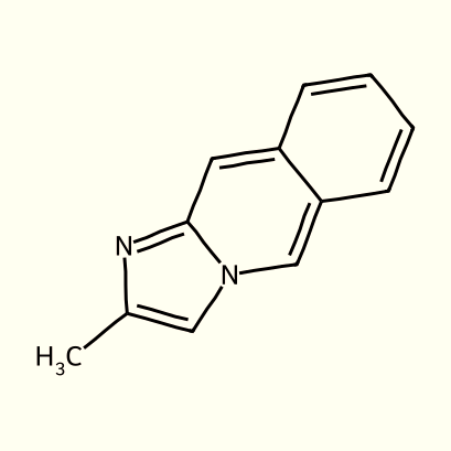 Cc1cn2cc3ccccc3cc2n1